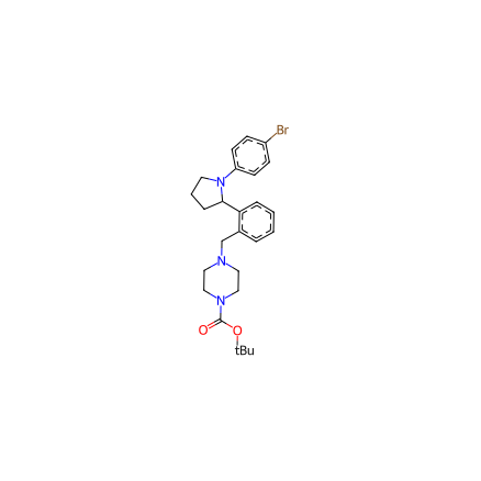 CC(C)(C)OC(=O)N1CCN(Cc2ccccc2C2CCCN2c2ccc(Br)cc2)CC1